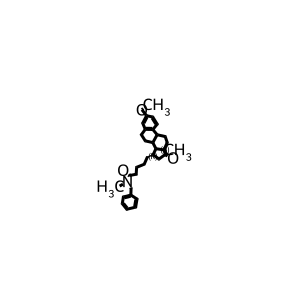 COc1ccc2c(c1)CCC1C2CC[C@]2(C)C(=O)C[C@@H](CCCCC(=O)N(C)Cc3ccccc3)C12